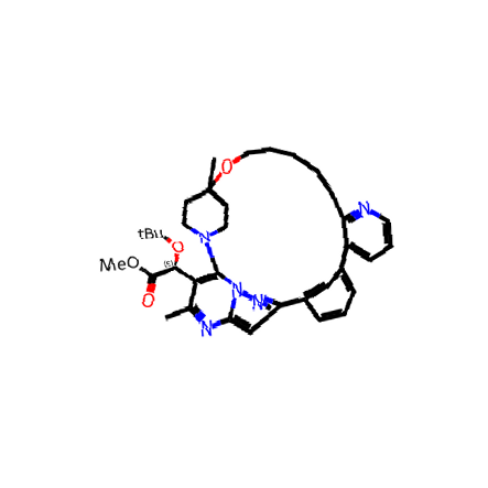 COC(=O)[C@@H](OC(C)(C)C)c1c(C)nc2cc3nn2c1N1CCC(C)(CC1)OCCCCCc1ncccc1-c1cccc-3c1